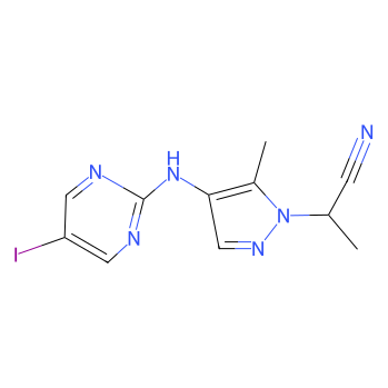 Cc1c(Nc2ncc(I)cn2)cnn1C(C)C#N